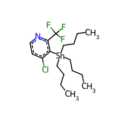 CCC[CH2][Sn]([CH2]CCC)([CH2]CCC)[c]1c(Cl)ccnc1C(F)(F)F